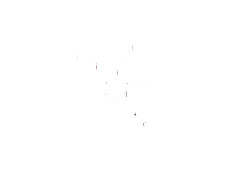 C=CC(=O)Oc1ccc(OCC)c(OCC)c1OCC